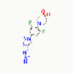 [N-]=[N+]=NCc1cn(-c2cc(F)c(N3CCS(=O)(=O)CC3)c(F)c2)nn1